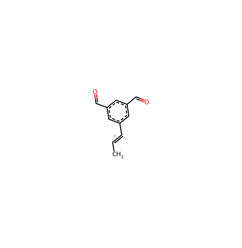 C/C=C/c1cc(C=O)cc(C=O)c1